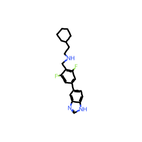 Fc1cc(-c2ccc3[nH]cnc3c2)cc(F)c1CNCCC1CCCCC1